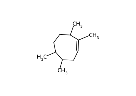 CC1=CCC(C)C(C)CCC1C